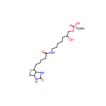 COP(=O)(O)OCC(O)CCCCCNC(=O)CCCCC1SCC2NC(=O)NC21